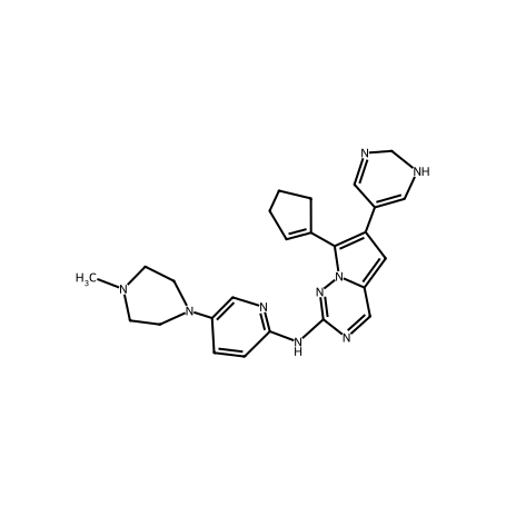 CN1CCN(c2ccc(Nc3ncc4cc(C5=CNCN=C5)c(C5=CCCC5)n4n3)nc2)CC1